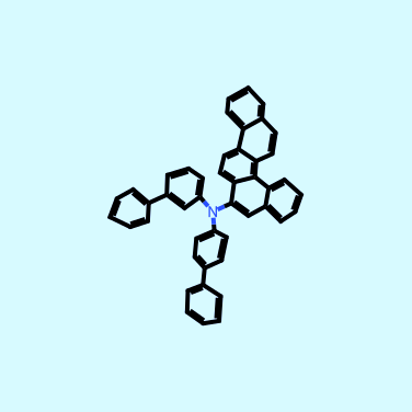 c1ccc(-c2ccc(N(c3cccc(-c4ccccc4)c3)c3cc4ccccc4c4c3ccc3c5ccccc5ccc34)cc2)cc1